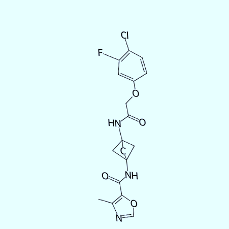 Cc1ncoc1C(=O)NC12CC(NC(=O)COc3ccc(Cl)c(F)c3)(C1)C2